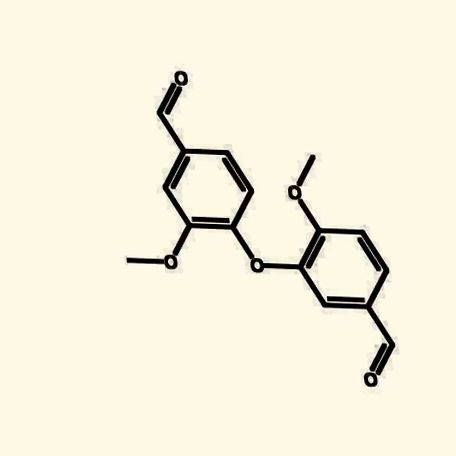 COc1cc(C=O)ccc1Oc1cc(C=O)ccc1OC